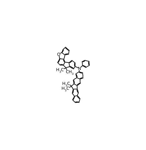 CC1(C)c2cc3ccccc3cc2-c2cc3ccc(N(c4ccccc4)c4ccc5c(c4)C(C)(C)c4ccc6oc7ccccc7c6c4-5)cc3cc21